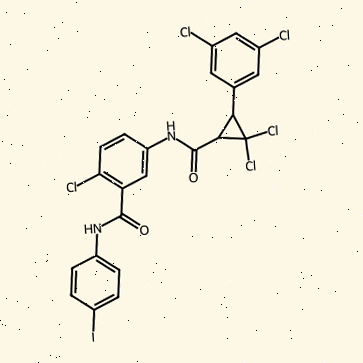 O=C(Nc1ccc(I)cc1)c1cc(NC(=O)C2C(c3cc(Cl)cc(Cl)c3)C2(Cl)Cl)ccc1Cl